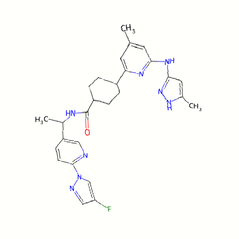 Cc1cc(Nc2cc(C)[nH]n2)nc(C2CCC(C(=O)NC(C)c3ccc(-n4cc(F)cn4)nc3)CC2)c1